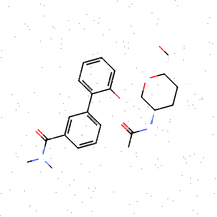 CC(=O)N[C@H]1[C@H](Oc2ccccc2-c2cccc(C(=O)N(C)C)c2)O[C@H](CO)[C@H](O)[C@@H]1O